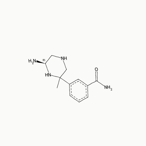 CC1(c2cccc(C(N)=O)c2)CNC[C@H](N)N1